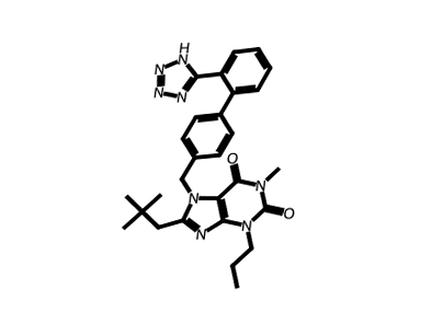 CCCn1c(=O)n(C)c(=O)c2c1nc(CC(C)(C)C)n2Cc1ccc(-c2ccccc2-c2nnn[nH]2)cc1